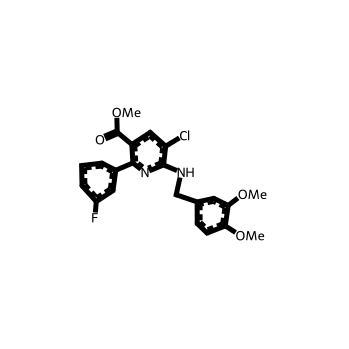 COC(=O)c1cc(Cl)c(NCc2ccc(OC)c(OC)c2)nc1-c1cccc(F)c1